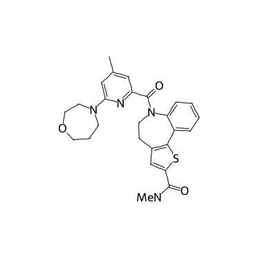 CNC(=O)c1cc2c(s1)-c1ccccc1N(C(=O)c1cc(C)cc(N3CCCOCC3)n1)CC2